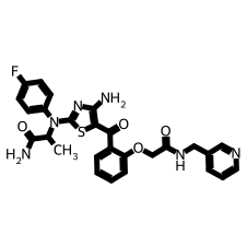 CC(C(N)=O)N(c1ccc(F)cc1)c1nc(N)c(C(=O)c2ccccc2OCC(=O)NCc2cccnc2)s1